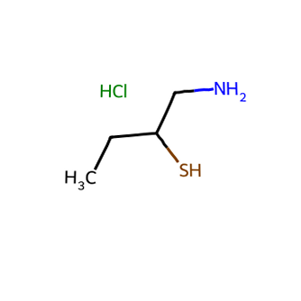 CCC(S)CN.Cl